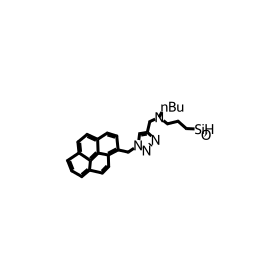 CCCCN(CCC[SiH]=O)Cc1cn(Cc2ccc3ccc4cccc5ccc2c3c45)nn1